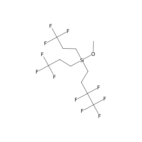 CO[Si](CCC(F)(F)F)(CCC(F)(F)F)CCC(F)(F)C(F)(F)F